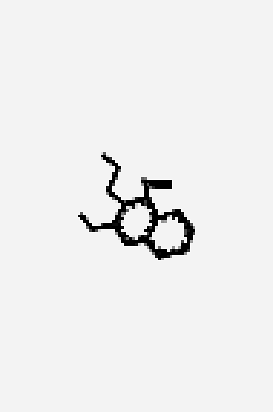 C=Cc1c(CCC)c(CC)cc2ccccc12